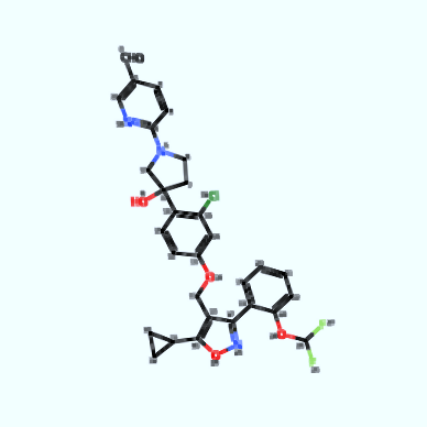 O=Cc1ccc(N2CCC(O)(c3ccc(OCc4c(-c5ccccc5OC(F)F)noc4C4CC4)cc3Cl)C2)nc1